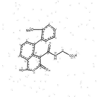 COc1ccccc1-c1cccc2c(O)oc(=O)c(C(=O)NCC(=O)O)c12